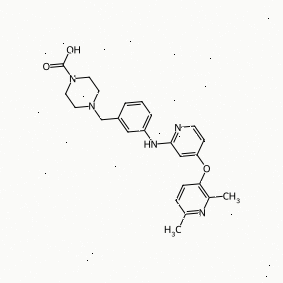 Cc1ccc(Oc2ccnc(Nc3cccc(CN4CCN(C(=O)O)CC4)c3)c2)c(C)n1